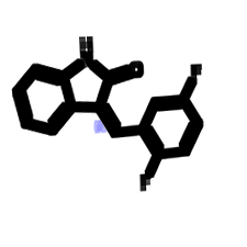 O=C1Nc2ccccc2/C1=C/c1cc(F)ccc1F